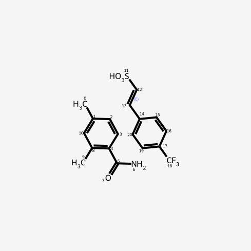 Cc1ccc(C(N)=O)c(C)c1.O=S(=O)(O)/C=C/c1ccc(C(F)(F)F)cc1